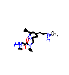 CNCCCc1cc(CN(C(=O)[C@H]2CNCCO2)C2CC2)nc(C2CC2)c1